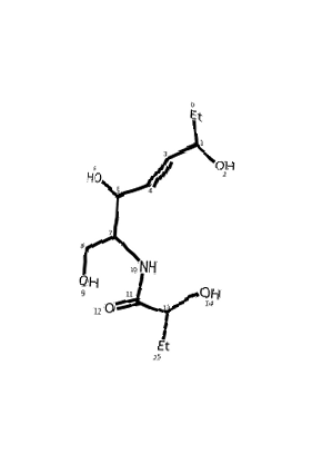 CCC(O)C=CC(O)C(CO)NC(=O)C(O)CC